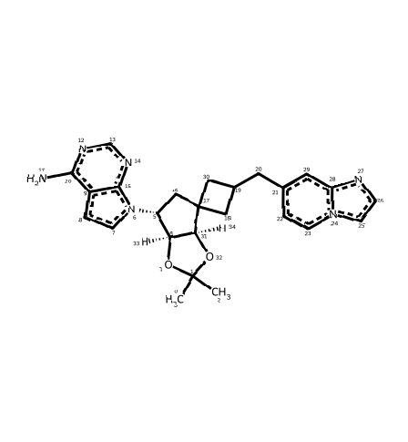 CC1(C)O[C@H]2[C@H](n3ccc4c(N)ncnc43)CC3(CC(Cc4ccn5ccnc5c4)C3)[C@H]2O1